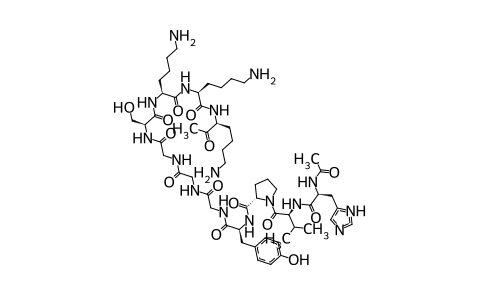 CC(=O)N[C@@H](Cc1cnc[nH]1)C(=O)N[C@H](C(=O)N1CCC[C@H]1C(=O)N[C@@H](Cc1ccc(O)cc1)C(=O)NCC(=O)NCC(=O)NCC(=O)N[C@@H](CO)C(=O)N[C@@H](CCCCN)C(=O)N[C@@H](CCCCN)C(=O)N[C@@H](CCCCN)C(C)=O)C(C)C